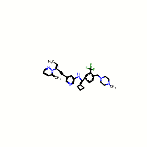 C=C1C=CC=NN1/C(C#Cc1cncc(NC(=C2CCC2)c2ccc(CN3CCN(C)CC3)c(C(F)(F)F)c2)c1)=C\C